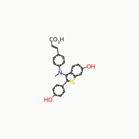 CN(c1ccc(/C=C/C(=O)O)cc1)c1c(-c2ccc(O)cc2)sc2cc(O)ccc12